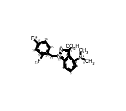 CN(C)c1cccc2c1c(C(=O)O)nn2Cc1ccc(F)cc1F